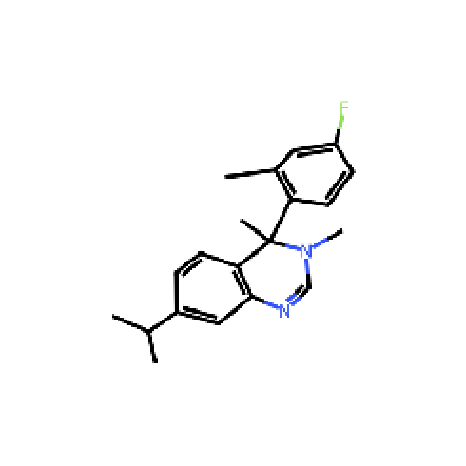 Cc1cc(F)ccc1C1(C)c2ccc(C(C)C)cc2N=CN1C